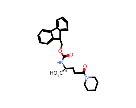 O=C(N[C@@H](CCC(=O)N1CCCCC1)C(=O)O)OCC1c2ccccc2-c2ccccc21